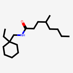 CCCCC(C)CCC(=O)NCC1(CC)CCCCC1